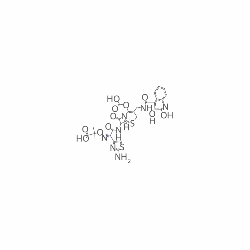 CC(C)(O/N=C(\C(=O)NC1C(=O)N2C(OC(=O)O)=C(CNC(=O)c3c(O)c(O)nc4ccccc34)CS[C@@H]12)c1csc(N)n1)C(=O)O